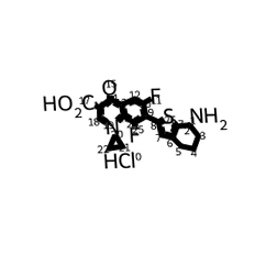 Cl.NC1CCCc2cc(-c3c(F)cc4c(=O)c(C(=O)O)cn(C5CC5)c4c3F)sc21